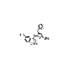 COc1ccc(C(F)(F)F)cc1C(=O)/N=c1\sn(C(C)(C)C)cc1Cc1ccco1